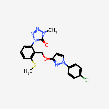 CSc1cccc(-n2nnn(C)c2=O)c1COc1ccn(-c2ccc(Cl)cc2)n1